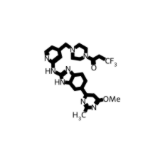 COC1=NC(C)=NC(C2CCC3N=C(NC4=CC(CN5CCN(C(=O)CC(F)(F)F)CC5)CC=N4)NC3C2)C1